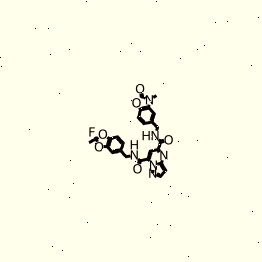 Cn1c(=O)oc2ccc(CNC(=O)c3cc(C(=O)NCc4ccc5c(c4)OC(C)(F)O5)n4nccc4n3)cc21